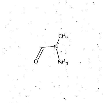 CN(N)[C]=O